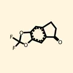 O=C1CCc2cc3c(cc21)OC(F)(F)O3